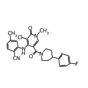 Cc1ccc(C#N)c(Nc2c(C(=O)N3CCC(c4ccc(F)cc4)CC3)cn(C)c(=O)c2Cl)c1